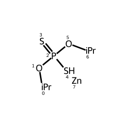 CC(C)OP(=S)(S)OC(C)C.[Zn]